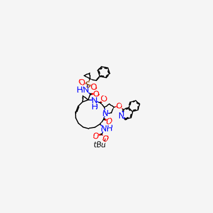 CC(C)(C)OC(=O)NC1CCCCC/C=C\C2CC2(C(=O)NS(=O)(=O)C2(Cc3ccccc3)CC2)NC(=O)C2CC(Oc3nccc4ccccc34)CN2C1=O